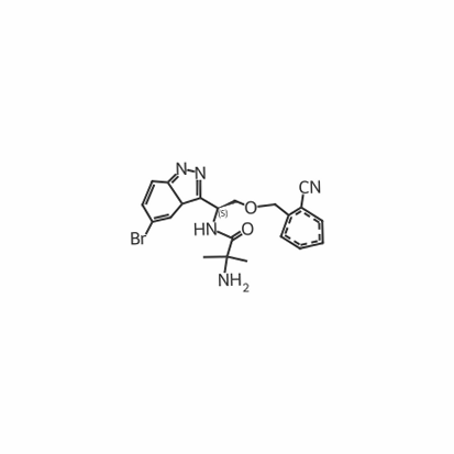 CC(C)(N)C(=O)N[C@H](COCc1ccccc1C#N)C1=NN=C2C=CC(Br)=CC21